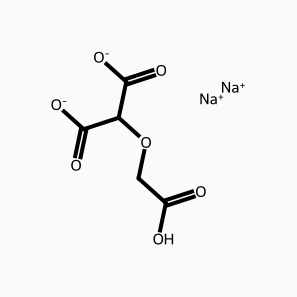 O=C(O)COC(C(=O)[O-])C(=O)[O-].[Na+].[Na+]